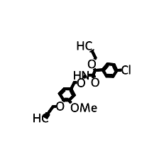 C#CCOc1ccc(CONC(=O)C(OCC#C)c2ccc(Cl)cc2)cc1OC